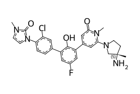 Cn1ccn(-c2ccc(-c3cc(F)cc(-c4cc(N5CC[C@](C)(N)C5)n(C)c(=O)c4)c3O)cc2Cl)c1=O